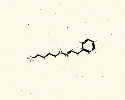 CCCCCON=CCc1[c]cccc1